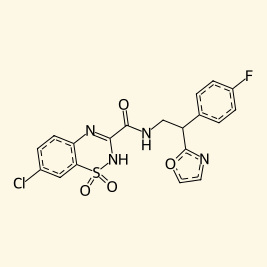 O=C(NCC(c1ccc(F)cc1)c1ncco1)C1=Nc2ccc(Cl)cc2S(=O)(=O)N1